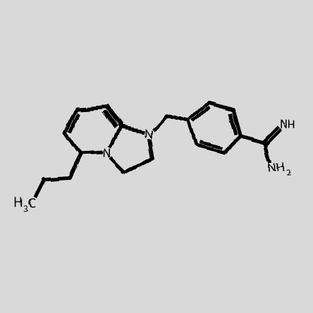 CCCC1C=CC=C2N(Cc3ccc(C(=N)N)cc3)CCN21